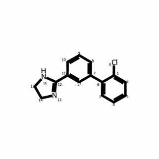 Clc1ccccc1-c1cccc(C2=NCCN2)c1